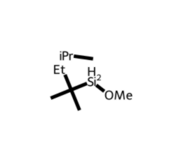 CC(C)C.CCC(C)(C)[SiH2]OC